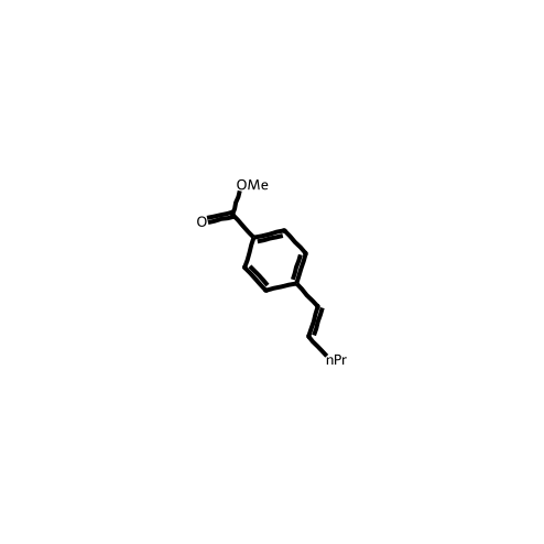 CCC/C=C/c1ccc(C(=O)OC)cc1